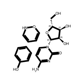 C1=CNOC=C1.Nc1ccn([C@@H]2O[C@H](CO)[C@@H](O)[C@H]2O)c(=O)n1.Oc1ccccc1